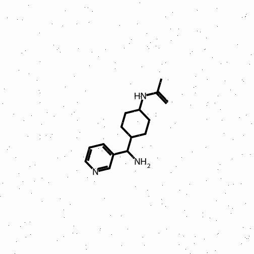 C=C(C)NC1CCC(C(N)c2cccnc2)CC1